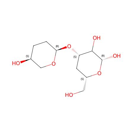 OC[C@@H]1C[C@H](O[C@@H]2CC[C@H](O)CO2)C(O)[C@H](O)O1